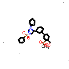 CS(=O)(=O)c1cc(-c2cccc(C3CN(S(=O)(=O)c4ccccc4)CN3c3ccccc3)c2)ccc1CO